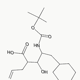 C=CCC(C(=O)O)C(O)C(CC1CCCCC1)NC(=O)OC(C)(C)C